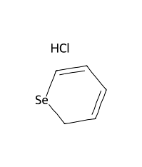 C1=CC[Se]C=C1.Cl